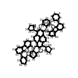 Cc1ccccc1-c1cccc2c1oc1c(N(c3ccccc3C)c3cc(C4CCCC4)c4ccc5c(N(c6ccccc6C)c6cccc7c6oc6c(-c8ccccc8C)cccc67)cc(C6CCCC6)c6ccc3c4c65)cccc12